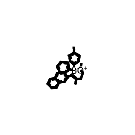 CC1=C(c2ccc3ccccc3c2)[B-](c2ccccc2)(c2ccc(C)cc2)[O+](C)CC1